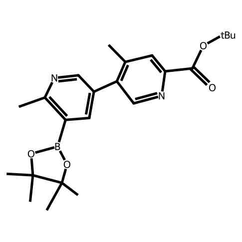 Cc1cc(C(=O)OC(C)(C)C)ncc1-c1cnc(C)c(B2OC(C)(C)C(C)(C)O2)c1